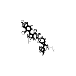 Cc1cc(C2(CN)C3CCN(c4nc5[nH]nc(-c6ccc7nn(C)cc7c6Cl)c5c(=O)n4C)CC32)no1